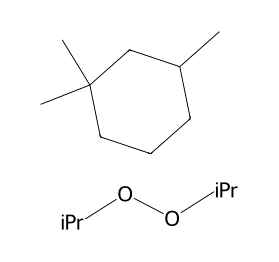 CC(C)OOC(C)C.CC1CCCC(C)(C)C1